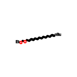 CCCC/C=C/CCCCCCCC/C=C/CCOCOCC